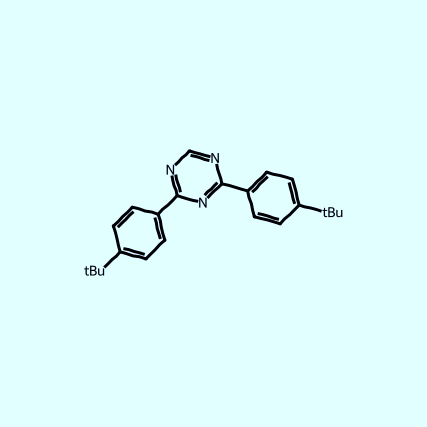 CC(C)(C)c1ccc(-c2ncnc(-c3ccc(C(C)(C)C)cc3)n2)cc1